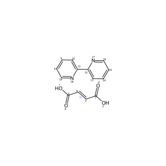 O=C(O)/C=C/C(=O)O.c1ccc(-c2ccccn2)nc1